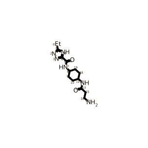 CCc1nnc(C(=O)NC2CCC(NC(=O)CCN)CC2)[nH]1